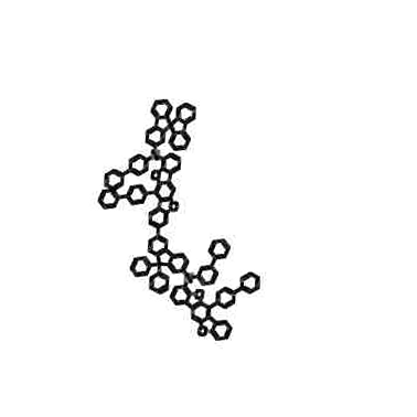 c1ccc(C2(c3ccccc3)c3ccc(-c4ccc5c(c4)oc4cc6c(oc7c(N(c8ccc(-c9ccccc9)cc8)c8ccc9c(c8)C8(c%10ccccc%10-c%10ccccc%108)c8ccccc8-9)cccc76)c(-c6ccc(-c7ccccc7)cc6)c45)cc3-c3ccc(N(c4cccc(-c5ccccc5)c4)c4cccc5c4oc4c(-c6ccc(-c7ccccc7)cc6)c6c(cc45)oc4ccccc46)cc32)cc#1